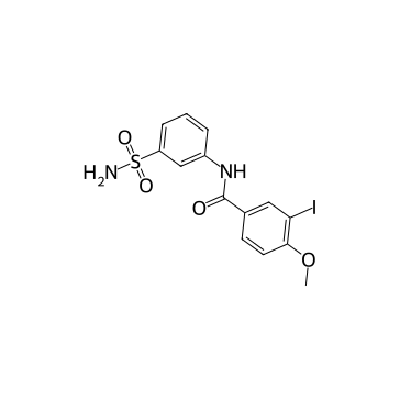 COc1ccc(C(=O)Nc2cccc(S(N)(=O)=O)c2)cc1I